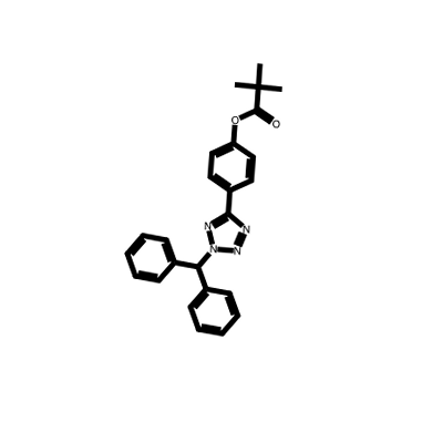 CC(C)(C)C(=O)Oc1ccc(-c2nnn(C(c3ccccc3)c3ccccc3)n2)cc1